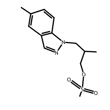 Cc1ccc2c(cnn2CC(C)COS(C)(=O)=O)c1